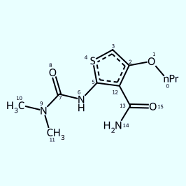 CCCOc1csc(NC(=O)N(C)C)c1C(N)=O